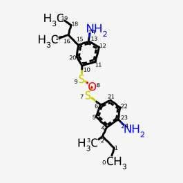 CCC(C)c1cc(SOSc2ccc(N)c(C(C)CC)c2)ccc1N